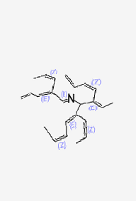 C=C/C=C\C(=C/C)C(/N=C/C(/C=C\C)=C/C=C)C(/C=C\C)=C/C=C\C